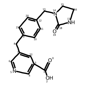 O=C(O)c1cncc(Cc2ccc(CN3CCNC3=O)cc2)c1